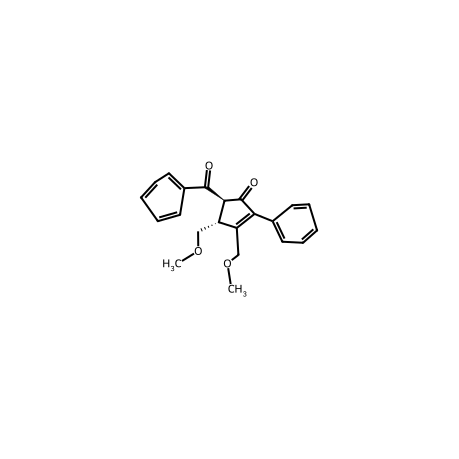 COCC1=C(c2ccccc2)C(=O)[C@H](C(=O)c2ccccc2)[C@H]1COC